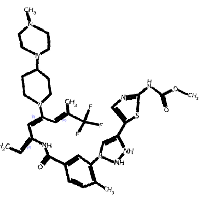 C\C=C(/C=C(\C=C(/C)C(F)(F)F)N1CCC(N2CCN(C)CC2)CC1)NC(=O)c1ccc(C)c(N2C=C(c3cnc(NC(=O)OC)s3)NN2)c1